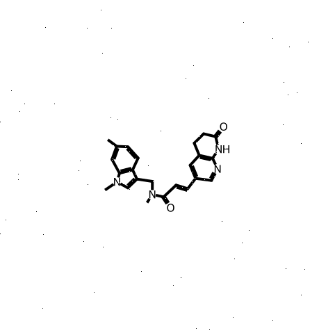 Cc1ccc2c(CN(C)C(=O)C=Cc3cnc4c(c3)CCC(=O)N4)cn(C)c2c1